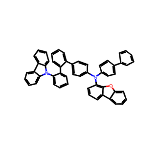 c1ccc(-c2ccc(N(c3ccc(-c4ccccc4-c4ccccc4-n4c5ccccc5c5ccccc54)cc3)c3cccc4c3oc3ccccc34)cc2)cc1